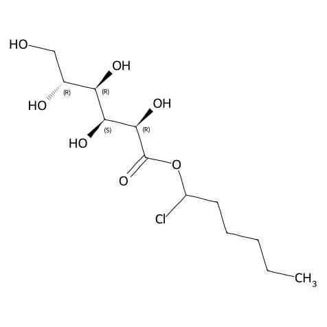 CCCCCC(Cl)OC(=O)[C@H](O)[C@@H](O)[C@H](O)[C@H](O)CO